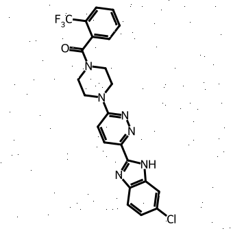 O=C(c1ccccc1C(F)(F)F)N1CCN(c2ccc(-c3nc4ccc(Cl)cc4[nH]3)nn2)CC1